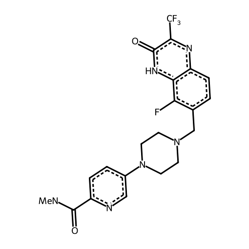 CNC(=O)c1ccc(N2CCN(Cc3ccc4nc(C(F)(F)F)c(=O)[nH]c4c3F)CC2)cn1